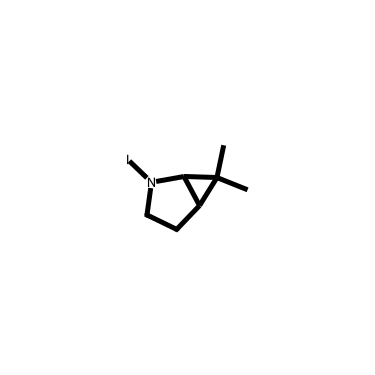 CC1(C)C2CCN(I)C21